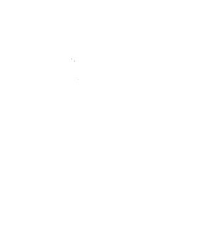 CCCCOC1=CC=C(Cl)CC=C1C(N)=O